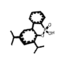 CC(C)c1cc2c(c(C(C)C)c1)OP(=O)(O)c1ccccc1-2